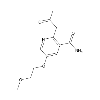 COCCOc1cnc(CC(C)=O)c(C(N)=O)c1